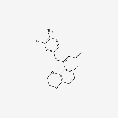 C=C/C=C(/Oc1ccc(N)c(F)c1)c1c(C)ccc2c1OCCO2